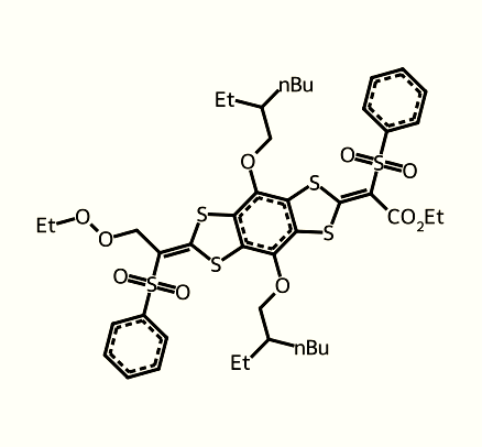 CCCCC(CC)COc1c2c(c(OCC(CC)CCCC)c3c1SC(=C(C(=O)OCC)S(=O)(=O)c1ccccc1)S3)SC(=C(COOCC)S(=O)(=O)c1ccccc1)S2